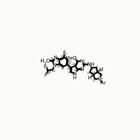 COc1nc(N[C@H]2C[C@@H]3CN(C(C)=O)C[C@@H]3C2)nc2[nH]cc(-c3cc(F)c4nc(C)n(CC(F)F)c4c3)c12